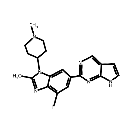 Cc1nc2c(F)cc(-c3ncc4cc[nH]c4n3)cc2n1C1CCN(C)CC1